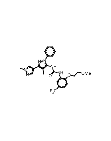 COCCOc1ccc(C(F)(F)F)cc1NC(=O)Nc1c(C)c(-c2cnn(C)c2)nn1-c1ccccc1